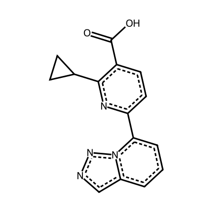 O=C(O)c1ccc(-c2cccc3cnnn23)nc1C1CC1